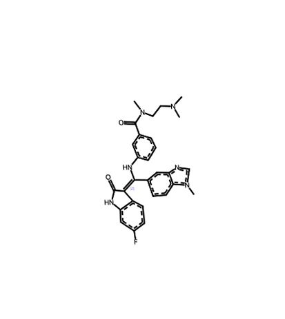 CN(C)CCN(C)C(=O)c1cccc(N/C(=C2\C(=O)Nc3cc(F)ccc32)c2ccc3c(c2)ncn3C)c1